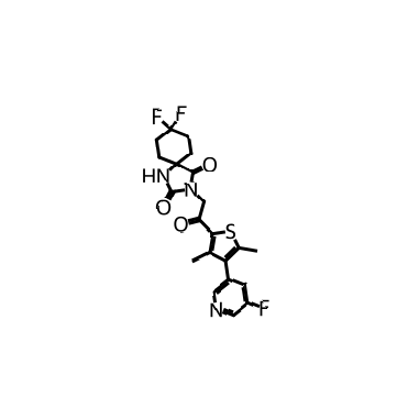 Cc1sc(C(=O)CN2C(=O)NC3(CCC(F)(F)CC3)C2=O)c(C)c1-c1cncc(F)c1